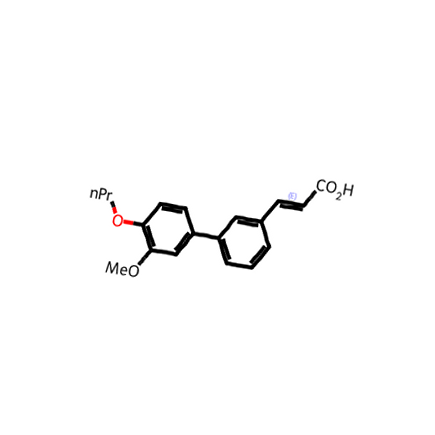 CCCOc1ccc(-c2cccc(/C=C/C(=O)O)c2)cc1OC